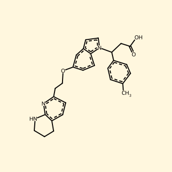 Cc1ccc(C(CC(=O)O)n2ccc3cc(OCCc4ccc5c(n4)NCCC5)ccc32)cc1